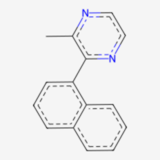 Cc1nccnc1-c1cccc2ccccc12